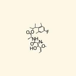 C=N/C(C(=O)N[C@@H](C)C(=O)OC(C)C(C)c1c(C)cc(F)cc1C)=C(O)\C(=C/C)OC